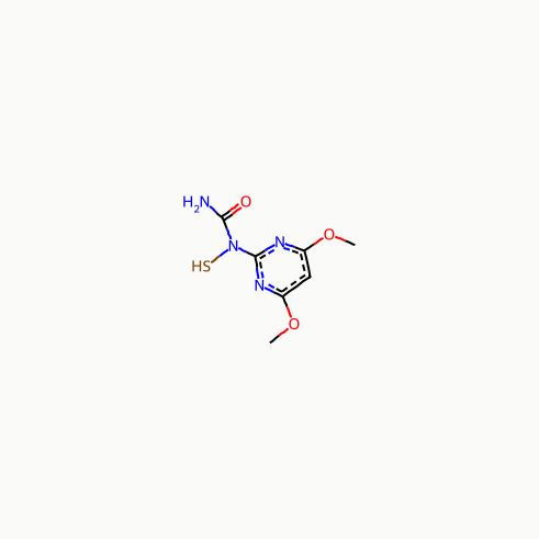 COc1cc(OC)nc(N(S)C(N)=O)n1